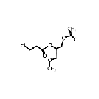 C=C(Cl)OCC(COC)OC(=O)CCCl